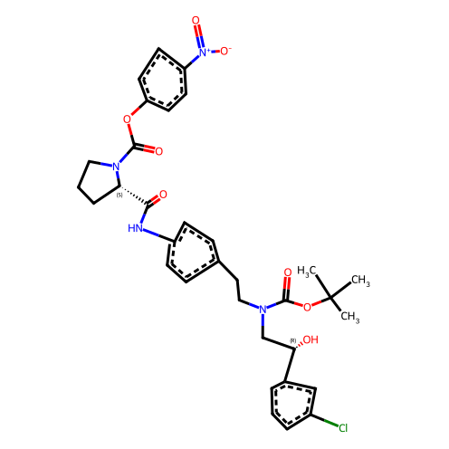 CC(C)(C)OC(=O)N(CCc1ccc(NC(=O)[C@@H]2CCCN2C(=O)Oc2ccc([N+](=O)[O-])cc2)cc1)C[C@H](O)c1cccc(Cl)c1